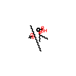 CCCCCCC(CCCC)COc1ccccc1C(=O)O.CCCCCCCCCCCC(CCCCCCCC)OC(=O)C(C)(C)C